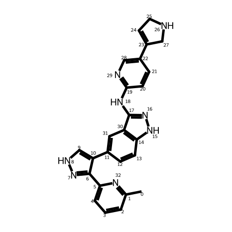 Cc1cccc(-c2n[nH]cc2-c2ccc3[nH]nc(Nc4ccc(C5=CCNC5)cn4)c3c2)n1